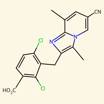 Cc1cc(C#N)cn2c(C)c(Cc3c(Cl)ccc(C(=O)O)c3Cl)nc12